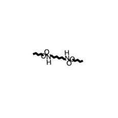 CCCCOC(=O)NCCCCCCNC(=O)OCCCC